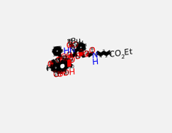 CCOC(=O)CCCCCNC(=O)COCC(=O)O[C@@H](C(=O)O[C@H]1C[C@@]2(O)[C@@H](OC(=O)c3ccccc3)[C@@H]3[C@]4(OC(C)=O)CO[C@@H]4C[C@H](O)[C@@]3(C)C(=O)[C@H](O)C(=C1C)C2(C)C)C(NC(=O)OC(C)(C)C)c1ccccc1